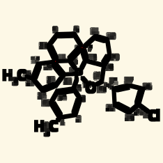 Cc1ccc(P2(c3ccccc3)(c3ccc(C)cc3)O[C@@H](c3ccc(Cl)cc3)c3ccccc32)cc1